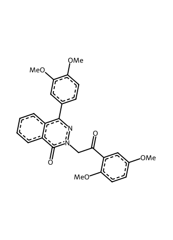 COc1ccc(OC)c(C(=O)Cn2nc(-c3ccc(OC)c(OC)c3)c3ccccc3c2=O)c1